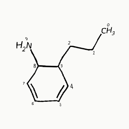 CCCC1C=CC=CC1N